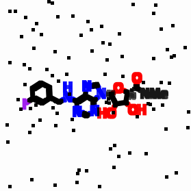 CNC(=O)[C@H]1O[C@@H](n2cnc3c(NCc4cccc(I)c4)ncnc32)C(O)C1O